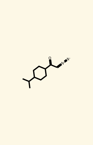 CC(C)C1CCC(C(=O)C=[N+]=[N-])CC1